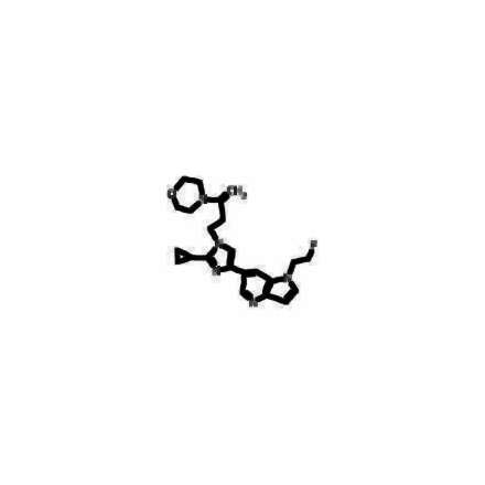 C=C(CCn1cc(-c2cnc3ccn(CCF)c3c2)nc1C1CC1)N1CCOCC1